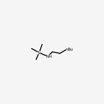 CCCCCCN[Si](C)(C)C